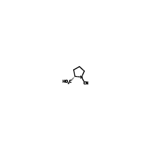 N#CN1CCC[C@H]1C(=O)O